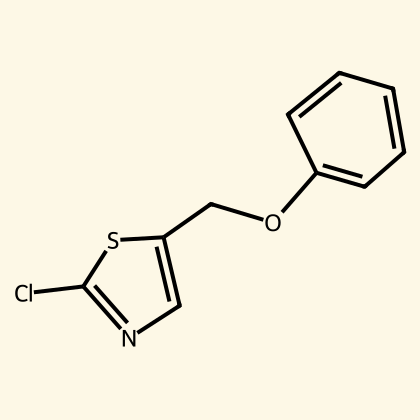 Clc1ncc(COc2ccccc2)s1